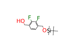 CC(C)(C)[Si](C)(C)OCc1ccc(CO)c(F)c1F